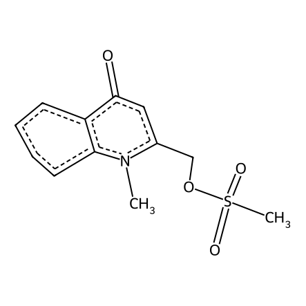 Cn1c(COS(C)(=O)=O)cc(=O)c2ccccc21